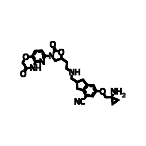 N#Cc1cc(OCC2(N)CC2)cc2c1CC(CNCCC1CN(c3ccc4c(n3)NC(=O)CO4)C(=O)O1)C2